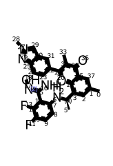 Cc1cc([C@@H](C)Nc2ccc(F)c(F)c2/C(N)=N/O)c2oc(-c3ccc4nn(C)cc4c3)c(C)c(=O)c2c1